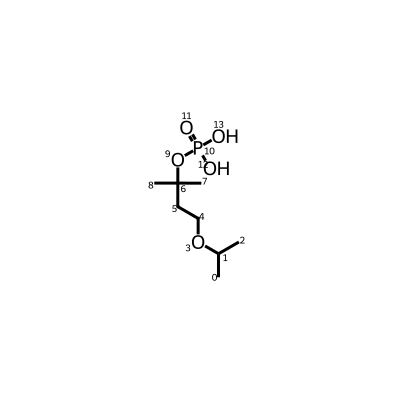 CC(C)OCCC(C)(C)OP(=O)(O)O